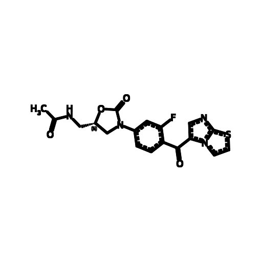 CC(=O)NC[C@H]1CN(c2ccc(C(=O)c3cnc4sccn34)c(F)c2)C(=O)O1